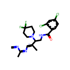 C=N/C(C)=N\C=C(/C)C(CNC(=O)c1ccc(Cl)cc1Cl)N1CCC(F)(F)CC1